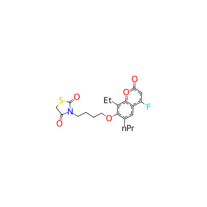 CCCc1cc2c(F)cc(=O)oc2c(CC)c1OCCCCN1C(=O)CSC1=O